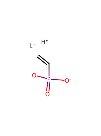 C=CP(=O)([O-])[O-].[H+].[Li+]